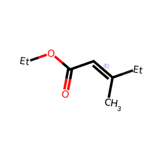 CCOC(=O)/C=C(\C)CC